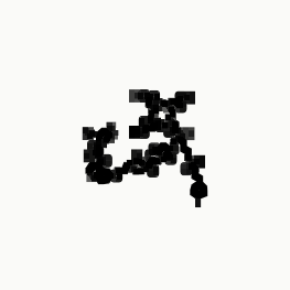 C[C@H](CN1C(=O)CC(SC[C@H](CCCCNC(=O)CCCc2ccc(I)cc2)NC(=O)CN2CCN(CC(=O)O)CCN(CC(=O)O)CCN(CC(=O)O)CC2)C1=O)C(=O)N1CCN(CCCOc2ccc3nccc(C(=O)NCC(=O)N4CC(F)(F)C[C@@H]4C#N)c3c2)CC1